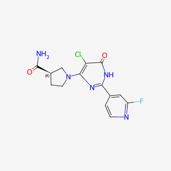 NC(=O)[C@@H]1CCN(c2nc(-c3ccnc(F)c3)[nH]c(=O)c2Cl)C1